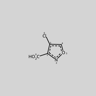 O=C(O)c1nocc1Cl